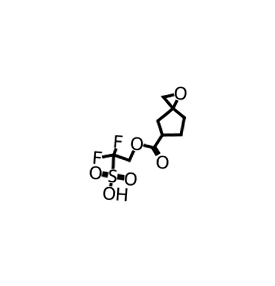 O=C(OCC(F)(F)S(=O)(=O)O)C1CCC2(CO2)C1